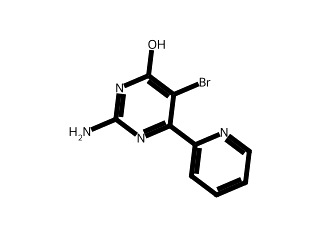 Nc1nc(O)c(Br)c(-c2ccccn2)n1